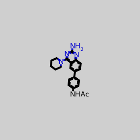 CC(=O)Nc1ccc(-c2ccc3nc(N)nc(N4CCCCC4)c3c2)cc1